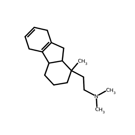 CN(C)CCC1(C)CCCC2C3=C(CC=CC3)CC21